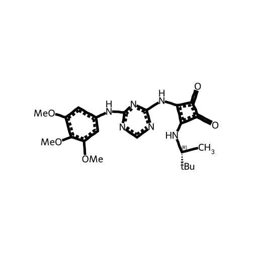 COc1cc(Nc2ncnc(Nc3c(N[C@H](C)C(C)(C)C)c(=O)c3=O)n2)cc(OC)c1OC